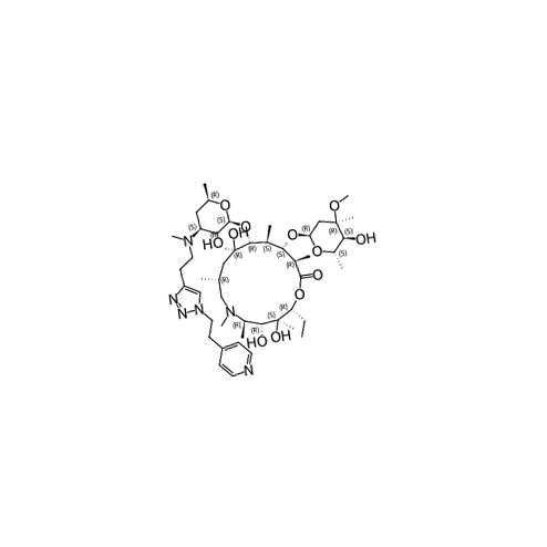 CC[C@H]1OC(=O)[C@H](C)[C@@H](O[C@H]2C[C@@](C)(OC)[C@@H](O)[C@H](C)O2)[C@H](C)[C@@H](O[C@@H]2O[C@H](C)C[C@H](N(C)CCc3cn(CCc4ccncc4)nn3)[C@H]2O)[C@](C)(O)C[C@@H](C)CN(C)[C@H](C)[C@@H](O)[C@]1(C)O